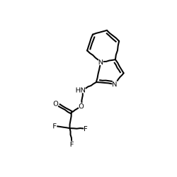 O=C(ONc1ncc2ccccn12)C(F)(F)F